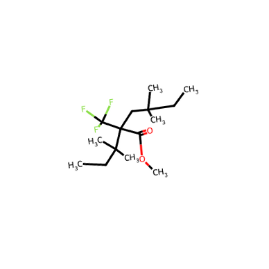 CCC(C)(C)CC(C(=O)OC)(C(F)(F)F)C(C)(C)CC